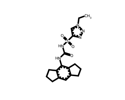 CCn1cc(S(=O)(=O)NC(=O)Nc2c3c(cc4c2CCC4)CCC3)nn1